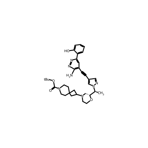 C[C@@H]([C@H]1CN(C2CC3(CCN(C(=O)OC(C)(C)C)CC3)C2)CCO1)n1cc(C#Cc2cc(-c3ccccc3O)nnc2N)cn1